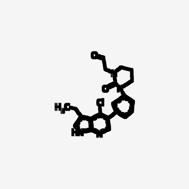 CCc1c[nH]c2ncc(-c3cccc(N4CCCN(CC=O)C4=O)c3)c(Cl)c12